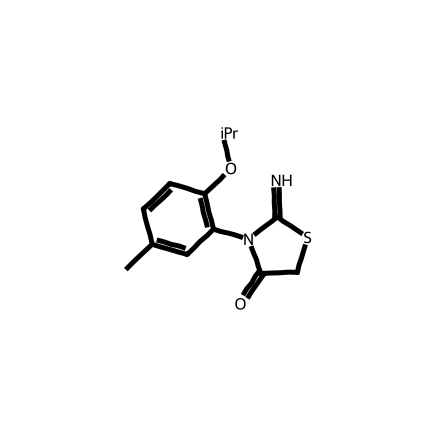 Cc1ccc(OC(C)C)c(N2C(=N)SCC2=O)c1